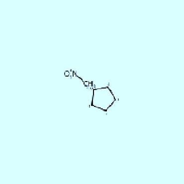 C1CCCC1.C[N+](=O)[O-]